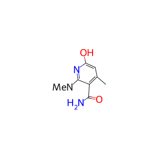 CNc1nc(O)cc(C)c1C(N)=O